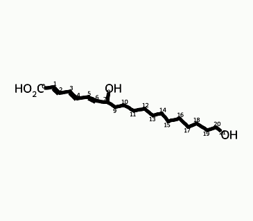 O=C(O)C=CC=CC=CC(O)CCCCCCCCCCCCO